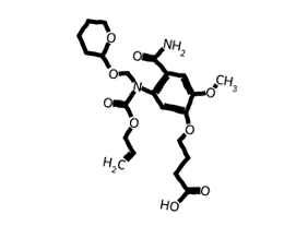 C=CCOC(=O)N(COC1CCCCO1)c1cc(OCCCC(=O)O)c(OC)cc1C(N)=O